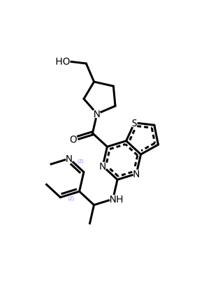 C/C=C(\C=N/C)C(C)Nc1nc(C(=O)N2CCC(CO)C2)c2sccc2n1